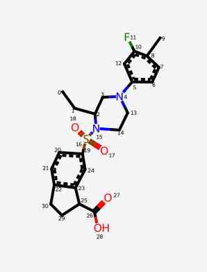 CCC1CN(c2ccc(C)c(F)c2)CCN1S(=O)(=O)c1ccc2c(c1)C(C(=O)O)CC2